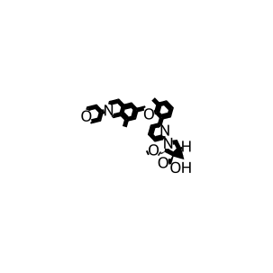 COC[C@@H]1N(c2cccc(-c3cccc(C)c3OCc3cc(C)c4c(c3)CCN(C3CCOCC3)C4)n2)C[C@@H]2C[C@@]21C(=O)O